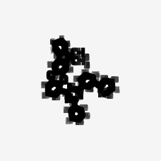 CC1(C)c2ccccc2-c2cc3c(cc21)Oc1c(cccc1-c1nc(-c2ccccc2)nc(-c2cccc(-c4ccccn4)c2)n1)O3